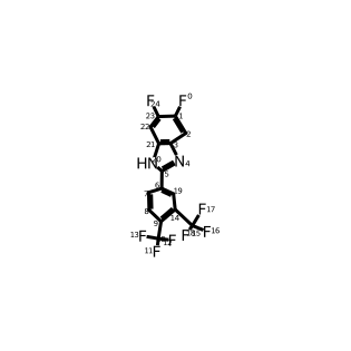 Fc1cc2nc(-c3ccc(C(F)(F)F)c(C(F)(F)F)c3)[nH]c2cc1F